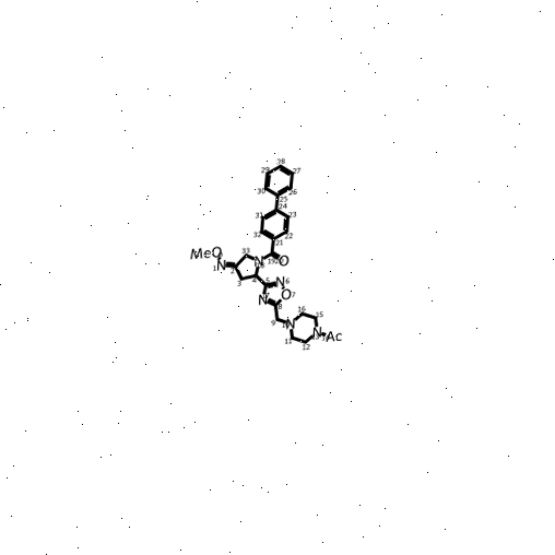 CON=C1CC(c2noc(CN3CCN(C(C)=O)CC3)n2)N(C(=O)c2ccc(-c3ccccc3)cc2)C1